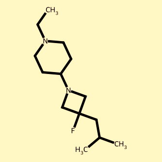 CCN1CCC(N2CC(F)(CC(C)C)C2)CC1